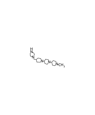 CN1CCC(N2CCC(N3CCC(CN4CCNCC4)CC3)CC2)CC1